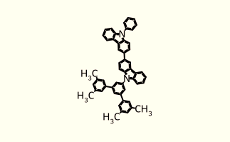 Cc1cc(C)cc(-c2cc(-c3cc(C)cc(C)c3)cc(-n3c4ccccc4c4cc(-c5ccc6c(c5)c5ccccc5n6-c5ccccc5)ccc43)c2)c1